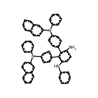 Nc1ccc(Nc2ccccc2)c(-c2ccc(N(c3ccccc3)c3ccc4ccccc4c3)cc2)c1-c1ccc(N(c2ccccc2)c2ccc3ccccc3c2)cc1